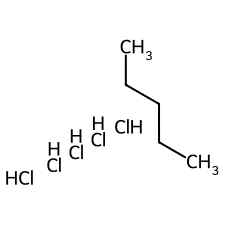 CCCCC.Cl.Cl.Cl.Cl.Cl